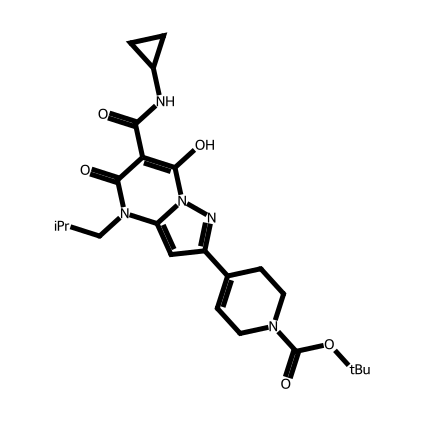 CC(C)Cn1c(=O)c(C(=O)NC2CC2)c(O)n2nc(C3=CCN(C(=O)OC(C)(C)C)CC3)cc12